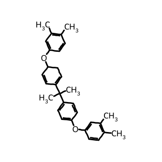 Cc1ccc(Oc2ccc(C(C)(C)C3=CCC(Oc4ccc(C)c(C)c4)C=C3)cc2)cc1C